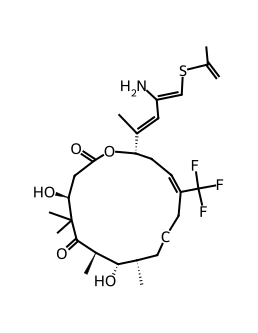 C=C(C)S/C=C(N)/C=C(\C)[C@@H]1C/C=C(/C(F)(F)F)CCC[C@H](C)[C@H](O)[C@@H](C)C(=O)C(C)(C)[C@@H](O)CC(=O)O1